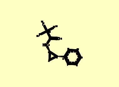 O=C(N[C@@H]1C[C@H]1c1ccccc1)C(F)(F)F